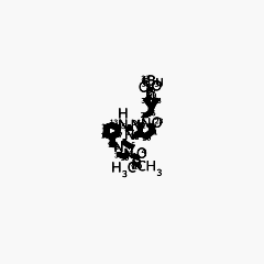 CN(C)C(=O)N1CCN(Cc2cccc(Nc3ncc4ccc(=O)n(CCC5CN(C(=O)OC(C)(C)C)C5)c4n3)c2)CC1